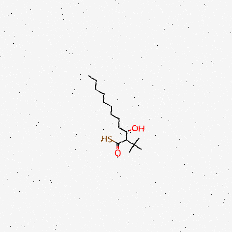 CCCCCCCCCC(O)C(C(=O)S)C(C)(C)C